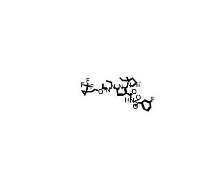 CCN(/N=C(\C)OCCC1(C(F)(F)F)CC1)c1ccc(C(=O)NS(=O)(=O)c2cccc(F)c2)c(N2C[C@@H](C)CC2(C)CC)n1